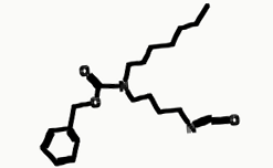 CCCCCCCN(CCCCN=C=O)C(=O)OCc1ccccc1